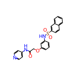 O=C(COc1cccc(NS(=O)(=O)c2ccc3ccccc3c2)c1)Nc1ccncc1